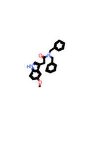 COc1ccc2[nH]cc(CC(=O)N(Cc3ccccc3)Cc3ccccc3)c2c1